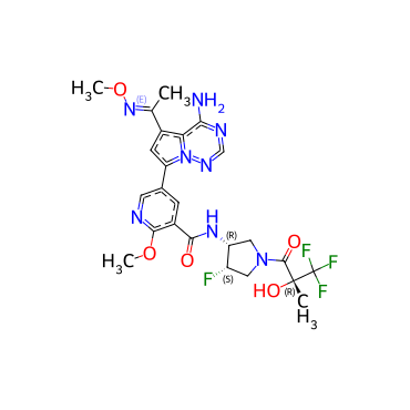 CO/N=C(\C)c1cc(-c2cnc(OC)c(C(=O)N[C@@H]3CN(C(=O)[C@@](C)(O)C(F)(F)F)C[C@@H]3F)c2)n2ncnc(N)c12